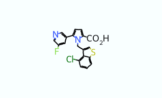 O=C(O)c1ccc(-c2cncc(F)c2)n1Cc1csc2cccc(Cl)c12